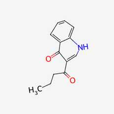 CCCC(=O)c1c[nH]c2ccccc2c1=O